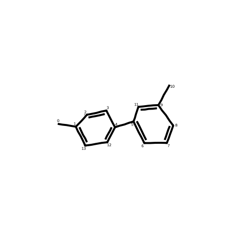 Cc1[c]cc(-c2cccc(C)c2)cc1